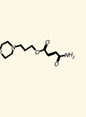 NC(=O)C=CC(=O)OCCCN1CCOCC1